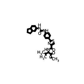 COC(=O)C(NC(=O)c1csc(-c2ccc(NC(=O)Nc3ccc4c(c3)CCC4)cc2)n1)C(C)C